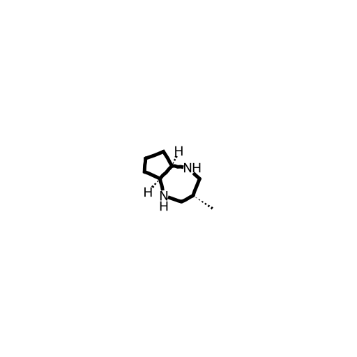 C[C@@H]1CN[C@H]2CCC[C@H]2NC1